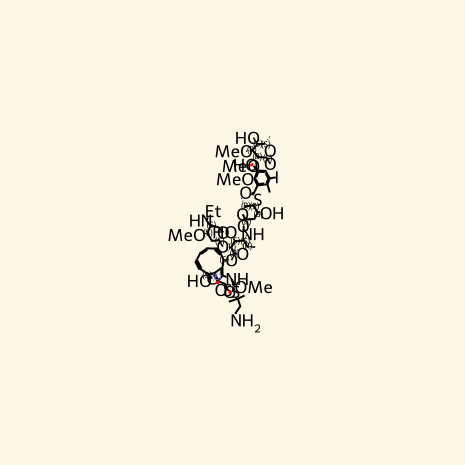 CCN[C@H]1CO[C@@H](O[C@H]2[C@H](O[C@H]3C#CC=CC#C[C@]4(O)CC(=O)C(NC(=O)OC)=C3/C4=C\CSSC(C)(C)CCN)O[C@H](C)[C@@H](NO[C@H]3C[C@H](O)[C@H](SC(=O)c4c(C)c(I)c(O[C@@H]5O[C@@H](C)[C@H](O)[C@@H](OC)[C@H]5O)c(OC)c4OC)[C@@H](C)O3)[C@@H]2O)C[C@@H]1OC